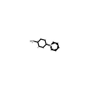 NC1CCC([n+]2ccccc2)CC1